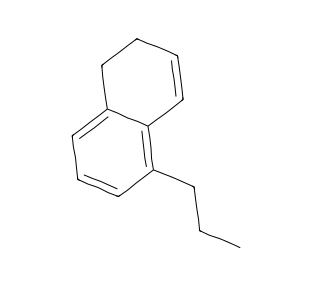 CCCc1cccc2c1C=CCC2